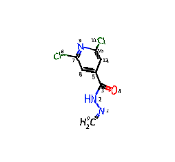 C=NNC(=O)c1cc(Cl)nc(Cl)c1